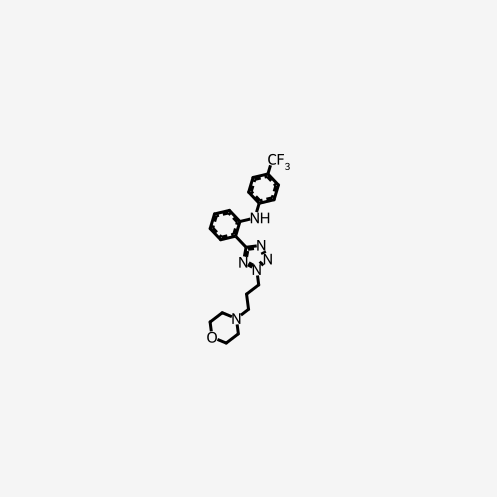 FC(F)(F)c1ccc(Nc2ccccc2-c2nnn(CCCN3CCOCC3)n2)cc1